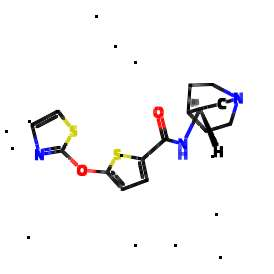 O=C(N[C@H]1CN2CCC1CC2)c1ccc(Oc2nccs2)s1